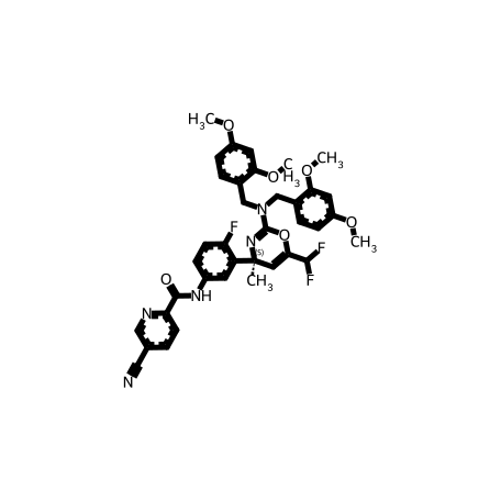 COc1ccc(CN(Cc2ccc(OC)cc2OC)C2=N[C@](C)(c3cc(NC(=O)c4ccc(C#N)cn4)ccc3F)C=C(C(F)F)O2)c(OC)c1